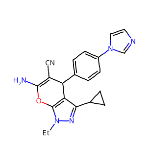 CCn1nc(C2CC2)c2c1OC(N)=C(C#N)C2c1ccc(-n2ccnc2)cc1